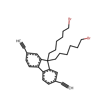 C#Cc1ccc2c(c1)C(CCCCCCBr)(CCCCCCBr)c1cc(C#C)ccc1-2